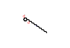 CCCCCCCC/C=C/CCCCC(=O)Cc1cccc(OC)c1